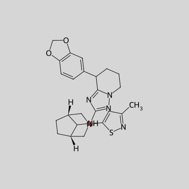 Cc1cc(N2C[C@H]3CC[C@@H](C2)C3Nc2nc3n(n2)CCCC3c2ccc3c(c2)OCO3)sn1